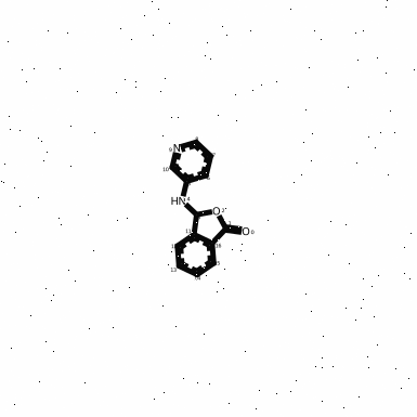 O=C1OC(Nc2cccnc2)c2ccccc21